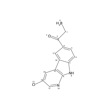 BCC(=O)c1ccc2[nH]c3ncc(Cl)cc3c2c1